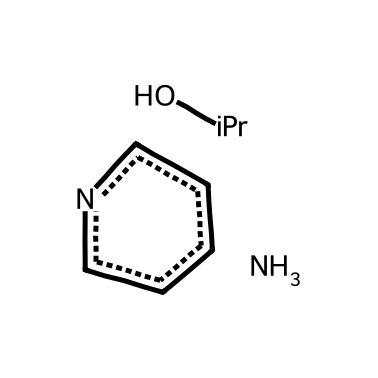 CC(C)O.N.c1ccncc1